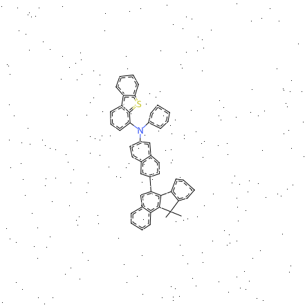 CC1(C)c2ccccc2-c2c(-c3ccc4cc(N(c5ccccc5)c5cccc6c5sc5ccccc56)ccc4c3)cc3ccccc3c21